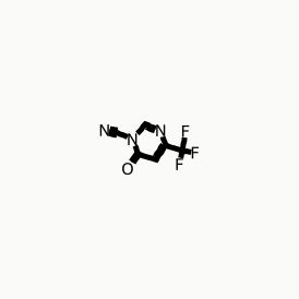 N#Cn1cnc(C(F)(F)F)cc1=O